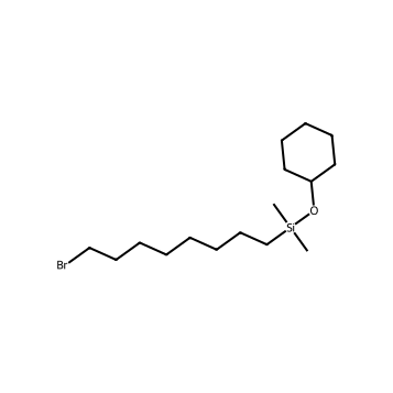 C[Si](C)(CCCCCCCCBr)OC1CCCCC1